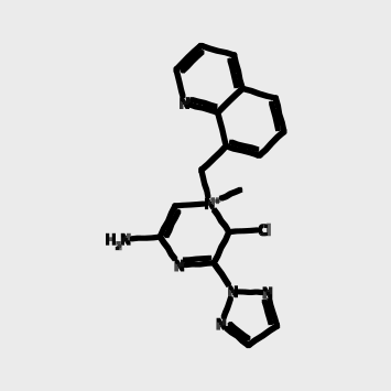 C[N+]1(Cc2cccc3cccnc23)C=C(N)N=C(n2nccn2)C1Cl